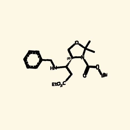 CCOC(=O)CC(NCc1ccccc1)[C@@H]1COC(C)(C)N1C(=O)OC(C)(C)C